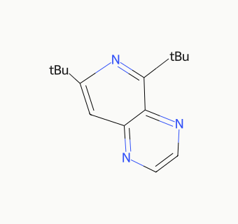 CC(C)(C)c1cc2nccnc2c(C(C)(C)C)n1